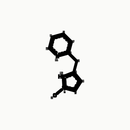 [O-][n+]1ccc(Cc2ccccn2)[nH]1